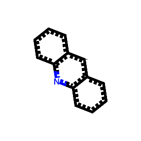 [c]1c2ccccc2nc2ccccc12